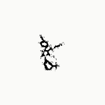 [C-]#[N+]CCOC(=O)C1=C(C)N(c2cccc(C(F)(F)F)c2)C(=S)NC1c1ccc(C#N)cc1